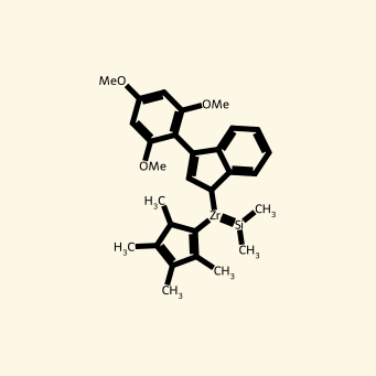 COc1cc(OC)c(C2=C[CH]([Zr]([C]3=C(C)C(C)=C(C)C3C)=[Si](C)C)c3ccccc32)c(OC)c1